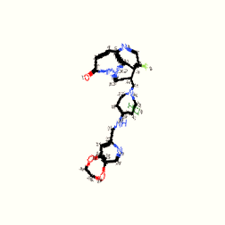 Cl.O=c1ccc2ncc(F)c3c2n1CC3CN1CCC(NCc2cc3c(cn2)OCCO3)CC1